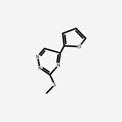 CSc1nncc(-c2ccco2)n1